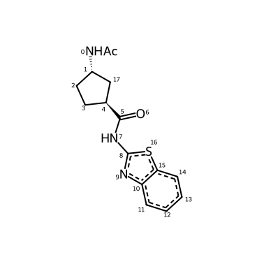 CC(=O)N[C@H]1CC[C@H](C(=O)Nc2nc3ccccc3s2)C1